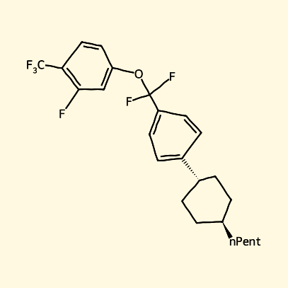 CCCCC[C@H]1CC[C@H](c2ccc(C(F)(F)Oc3ccc(C(F)(F)F)c(F)c3)cc2)CC1